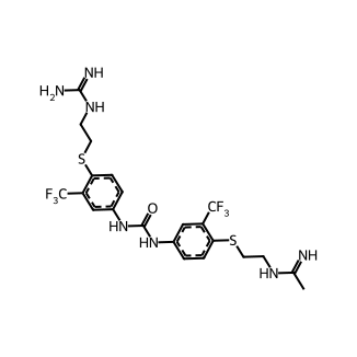 CC(=N)NCCSc1ccc(NC(=O)Nc2ccc(SCCNC(=N)N)c(C(F)(F)F)c2)cc1C(F)(F)F